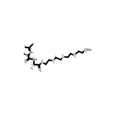 COCCOCCOCCOCCOC(=O)[C@H](C)NC(=O)[C@@H](C)N=C(C)C